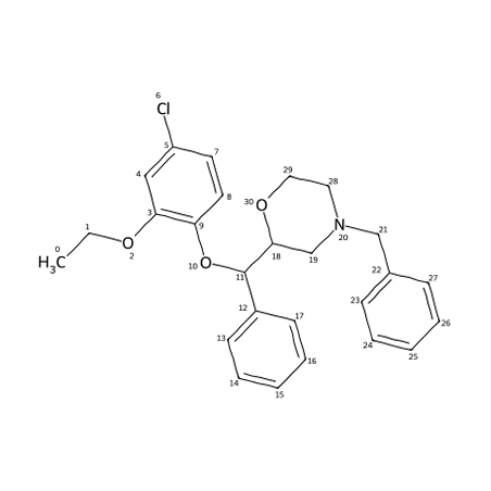 CCOc1cc(Cl)ccc1OC(c1ccccc1)C1CN(Cc2ccccc2)CCO1